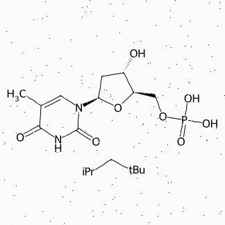 CC(C)CC(C)(C)C.Cc1cn([C@H]2C[C@H](O)[C@@H](COP(=O)(O)O)O2)c(=O)[nH]c1=O